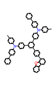 Cc1ccc(N(c2ccc(-c3ccccc3)cc2)c2ccc(-c3cc(-c4ccc(-c5cccc6c5oc5ccccc56)cc4)cc(-c4ccc(N(c5ccc(C)cc5)c5ccc(-c6ccccc6)cc5)cc4)c3)cc2)cc1